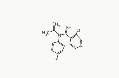 C=C(C)N(C(=N)c1ccncc1Cl)c1ccc(F)cc1